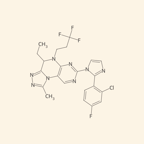 CCC1c2nnc(C)n2-c2cnc(-n3ccnc3-c3ccc(F)cc3Cl)nc2N1CCC(F)(F)F